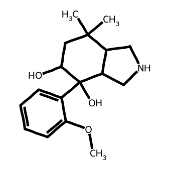 COc1ccccc1C1(O)C(O)CC(C)(C)C2CNCC21